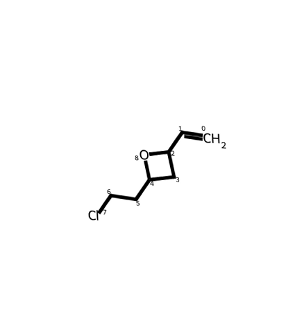 C=CC1CC(CCCl)O1